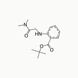 CN(C)C(=O)CNc1ccccc1C(=O)OC(C)(C)C